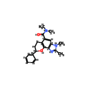 Cc1nc2c3c(c(C(=O)N(C)C)cc2n1C)CCC(c1ccccc1)O3